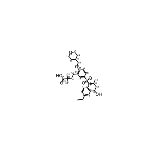 CCc1ccc2c(c1)C(O)CC(C)N2S(=O)(=O)c1ccc(OCC2CCOCC2)c(CCC(C)(C)C(=O)O)c1